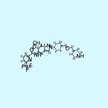 COc1cc2nn(C3CCC(COCC4CCNCC4)CC3)cc2cc1NC(=O)c1cccc(C(F)(F)F)n1